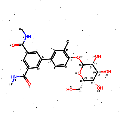 CNC(=O)c1cc(C(=O)NC)cc(-c2ccc(OC3O[C@@H](CO)[C@@H](O)[C@H](O)[C@H]3O)c(C)c2)c1